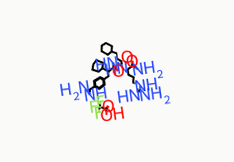 N=C(N)NCCCC(NC(=O)[C@H](CC1CCCCC1)NC(=O)[C@@H](Cc1ccc(C(=N)N)cc1)C1CCCCC1)C(N)=O.O=C(O)C(F)(F)F